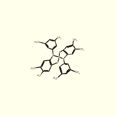 Cc1cc(C)cc(N2c3cc(C)c(C)cc3O[Si]23Oc2cc(C)c(C)cc2N3c2cc(C)cc(C)c2)c1